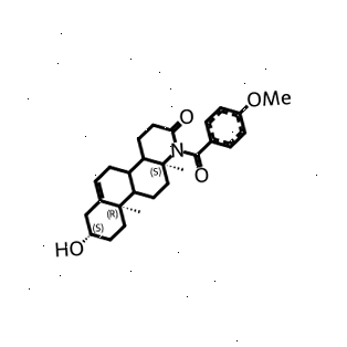 COc1ccc(C(=O)N2C(=O)CCC3C4CC=C5C[C@@H](O)CC[C@]5(C)C4CC[C@@]32C)cc1